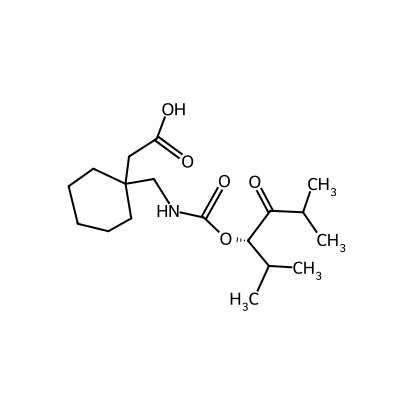 CC(C)C(=O)[C@@H](OC(=O)NCC1(CC(=O)O)CCCCC1)C(C)C